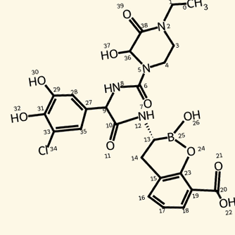 CCN1CCN(C(=O)NC(C(=O)N[C@H]2Cc3cccc(C(=O)O)c3OB2O)c2cc(O)c(O)c(Cl)c2)C(O)C1=O